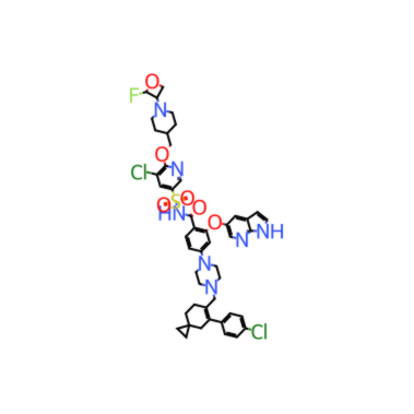 O=C(NS(=O)(=O)c1cnc(OCC2CCN(C3COC3F)CC2)c(Cl)c1)c1ccc(N2CCN(CC3=C(c4ccc(Cl)cc4)CC4(CC3)CC4)CC2)cc1Oc1cnc2[nH]ccc2c1